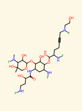 CN(F)C1C(O)C(OC2C(NC(=O)C(O)CCNF)CC(NF)C(OC(O)C(CCC#CCN(F)CCO)NF)C2O)OCC1(C)O